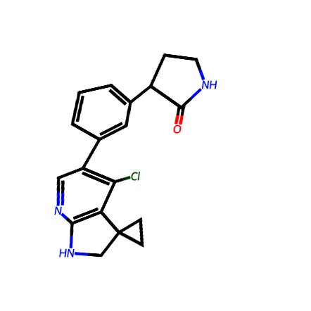 O=C1NCCC1c1cccc(-c2cnc3c(c2Cl)C2(CC2)CN3)c1